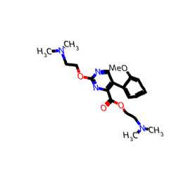 COc1ccccc1-c1cnc(OCCN(C)C)nc1C(=O)OCCN(C)C